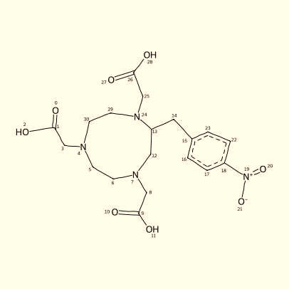 O=C(O)CN1CCN(CC(=O)O)CC(Cc2ccc([N+](=O)[O-])cc2)N(CC(=O)O)CC1